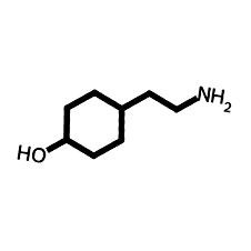 NCCC1CCC(O)CC1